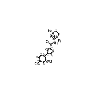 O=C(N[C@@H]1C[C@H]2CC[C@@H]1N2)c1ncc(-c2ccc(Cl)cc2Cl)o1